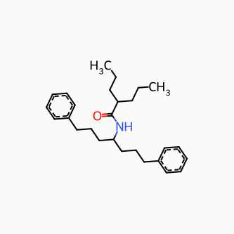 CCCC(CCC)C(=O)NC(CCCc1ccccc1)CCCc1ccccc1